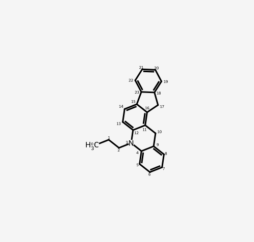 CCCN1c2ccccc2Cc2c1ccc1c2Cc2ccccc2-1